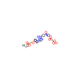 CS(=O)(=O)CCCOc1cccc2c1ccn2-c1ccnc(NC2CCC(C(=O)N3CCC(OC(=O)CCC(=O)O)CC3)CC2)n1